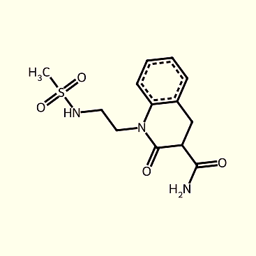 CS(=O)(=O)NCCN1C(=O)C(C(N)=O)Cc2ccccc21